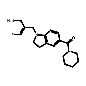 NCC(=CF)CN1CCc2cc(C(=O)N3CCCCC3)ccc21